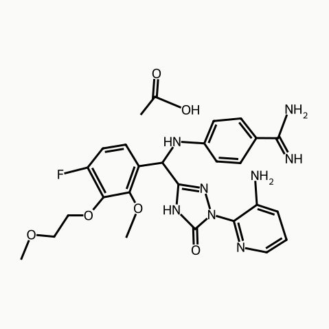 CC(=O)O.COCCOc1c(F)ccc(C(Nc2ccc(C(=N)N)cc2)c2nn(-c3ncccc3N)c(=O)[nH]2)c1OC